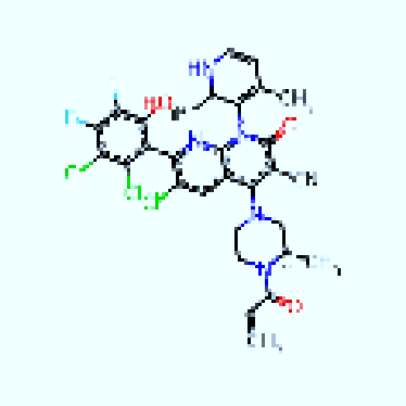 C=CC(=O)N1CCN(c2c(C#N)c(=O)n(C3=C(C)C=CNC3C(C)C)c3nc(-c4c(O)c(F)c(F)c(Cl)c4Cl)c(Cl)cc23)C[C@H]1C